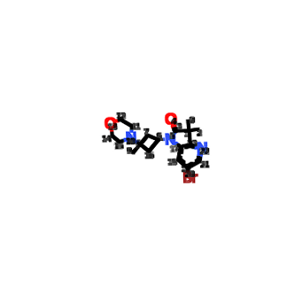 CC1(C)C(=O)N([C@H]2C[C@@](C)(N3CCOCC3)C2)c2cc(Br)cnc21